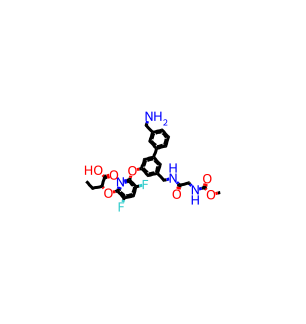 CCC(Oc1nc(Oc2cc(CNC(=O)CNC(=O)OC)cc(-c3cccc(CN)c3)c2)c(F)cc1F)C(=O)O